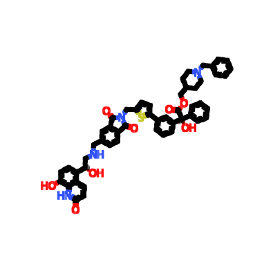 O=C1c2ccc(CNC[C@H](O)c3ccc(O)c4[nH]c(=O)ccc34)cc2C(=O)N1Cc1ccc(-c2cccc([C@](O)(C(=O)OCC3CCN(Cc4ccccc4)CC3)c3ccccc3)c2)s1